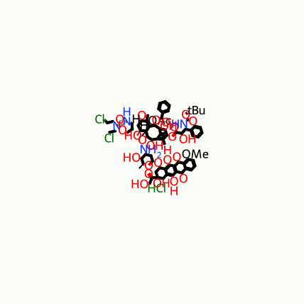 CC(=O)O[C@@]12CO[C@@H]1C[C@H](O)[C@@]1(C)C(=O)[C@H](O)C3=C(C)[C@@H](OC(=O)[C@H](O)[C@@H](NC(=O)OC(C)(C)C)c4ccccc4)C[C@@](O)([C@@H](OC(=O)c4ccccc4)[C@H]21)C3(C)C.COc1cccc2c1C(=O)c1c(O)c3c(c(O)c1C2=O)C[C@@](O)(C(=O)CO)C[C@@H]3O[C@H]1C[C@H](N)[C@H](O)[C@H](C)O1.Cl.O=P1(N(CCCl)CCCl)NCCCO1